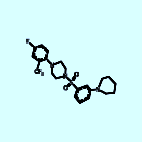 O=S(=O)(c1cccc(N2CCCCC2)c1)N1CCN(c2ccc(F)cc2C(F)(F)F)CC1